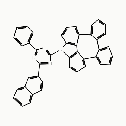 c1ccc(-c2nc(-c3ccc4ccccc4c3)nc(-n3c4cccc5c6ccccc6c6ccccc6c6cccc3c6c54)n2)cc1